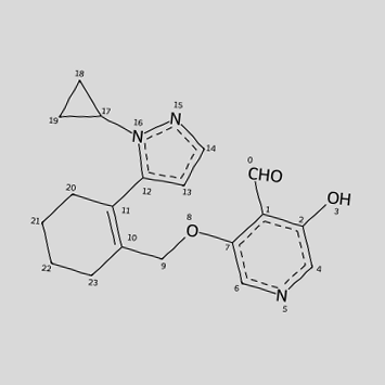 O=Cc1c(O)cncc1OCC1=C(c2ccnn2C2CC2)CCCC1